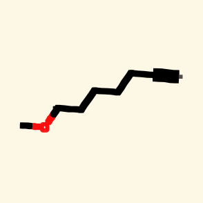 [C]#CCCCC[CH]OC